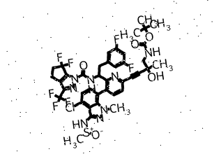 Cn1nc(N[S+](C)[O-])c2c(Cl)ccc(-c3ccc(C#CC(C)(O)CNC(=O)OC(C)(C)C)nc3C(Cc3cc(F)cc(F)c3)NC(=O)n3nc(C(F)(F)F)c4c3C(F)(F)CC4)c21